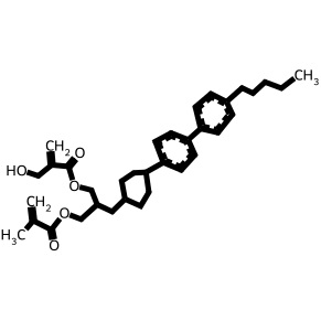 C=C(C)C(=O)OCC(COC(=O)C(=C)CO)CC1CCC(c2ccc(-c3ccc(CCCCC)cc3)cc2)CC1